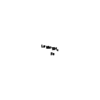 [Fe].[La].[Mn].[SiH4]